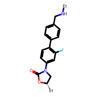 CCNCc1ccc(-c2ccc(N3C[C@H](CC)OC3=O)cc2F)cc1